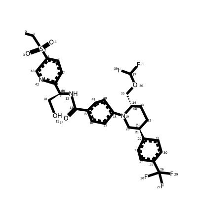 CCS(=O)(=O)c1ccc([C@H](CO)NC(=O)c2ccc(N3C[C@H](c4ccc(C(F)(F)F)cc4)CC[C@H]3COC(F)F)cc2)nc1